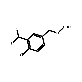 O=COCc1ccc(Cl)c(C(F)F)c1